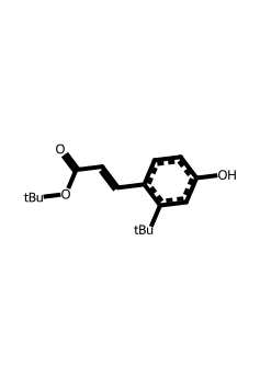 CC(C)(C)OC(=O)C=Cc1ccc(O)cc1C(C)(C)C